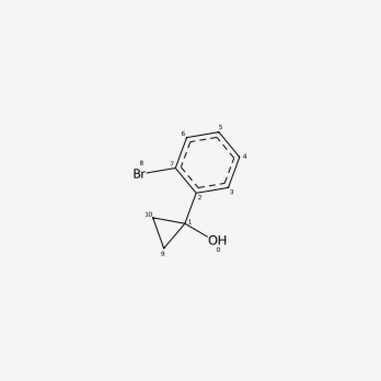 OC1(c2ccccc2Br)CC1